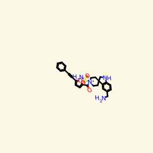 NCc1ccc2c(c1)C1(CC[N+](C(=O)c3ccc(C#Cc4ccccc4)o3)(S(N)(=O)=O)CC1)CN2